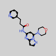 O=C(CCc1cccnc1)Nc1cc(N2CCOCC2)n2nccc2n1